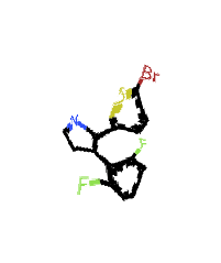 Fc1cccc(F)c1C1CC=NC1c1ccc(Br)s1